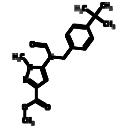 COC(=O)c1cc(N(C=O)Cc2ccc(C(C)(C)C)cc2)n(C)n1